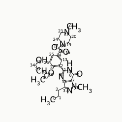 CCCc1nn(C)c2c(=O)[nH]c(-c3cc(S(=O)(=O)N4CCN(C)CC4)ccc3OCC)nc12.CCO